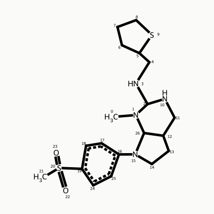 CN1C(NCC2CCCS2)NCC2CCN(c3ccc(S(C)(=O)=O)cc3)C21